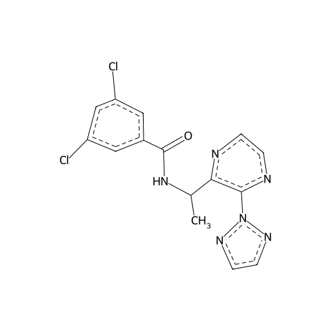 CC(NC(=O)c1cc(Cl)cc(Cl)c1)c1nccnc1-n1nccn1